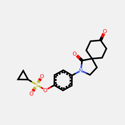 O=C1CCC2(CC1)CCN(c1ccc(OS(=O)(=O)C3CC3)cc1)C2=O